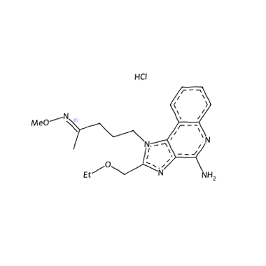 CCOCc1nc2c(N)nc3ccccc3c2n1CCC/C(C)=N/OC.Cl